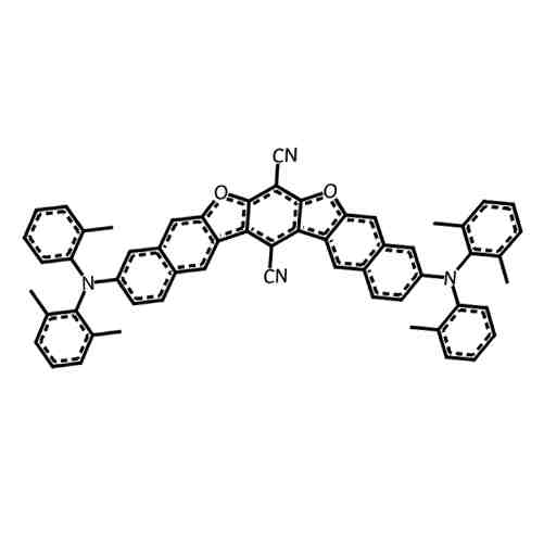 Cc1ccccc1N(c1ccc2cc3c(cc2c1)oc1c(C#N)c2oc4cc5cc(N(c6ccccc6C)c6c(C)cccc6C)ccc5cc4c2c(C#N)c13)c1c(C)cccc1C